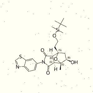 CC(C)(C)[Si](C)(C)OCC[C@@]12C[C@@H](O)[C@@](C)(O1)[C@H]1C(=O)N(c3ccc4ncsc4c3)C(=O)[C@H]12